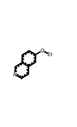 CCOc1ccc2cn[c]cc2c1